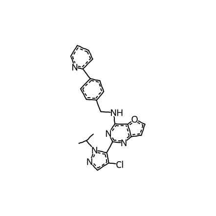 CC(C)n1ncc(Cl)c1-c1nc(NCc2ccc(-c3ccccn3)cc2)c2occc2n1